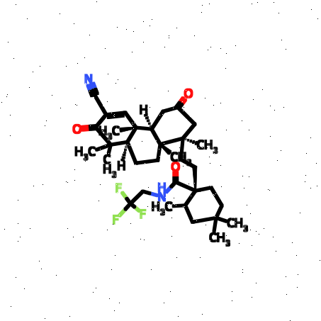 CC1CC(C)(C)CC[C@@]1(CC[C@]1(C)CC(=O)C[C@@H]2[C@@]3(C)C=C(C#N)C(=O)C(C)(C)[C@@H]3CC[C@]21C)C(=O)NCC(F)(F)F